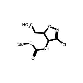 CC(C)(C)OC(=O)NC1C(Cl)=NOC1CC(=O)O